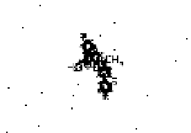 C[C@@H](c1ccc(-c2ccc(F)cc2F)cc1)N1CCC(CC(O)CO)(c2ccc(F)cc2)CC1=O